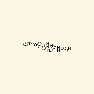 Cc1c(Nc2nccc3cc(CNCC(=O)O)cnc23)cccc1-c1cccc(OCCCN2CCOCC2)c1C